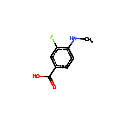 CNc1ccc(C(=O)O)cc1F